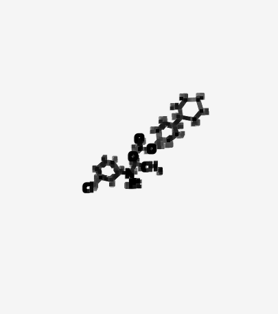 CCN(c1cccc(Cl)c1)C(C)OC(=O)Oc1ccc(C2CCCCC2)cc1